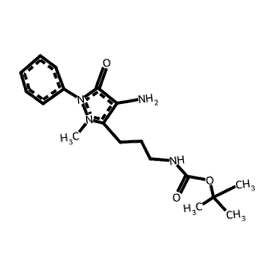 Cn1c(CCCNC(=O)OC(C)(C)C)c(N)c(=O)n1-c1ccccc1